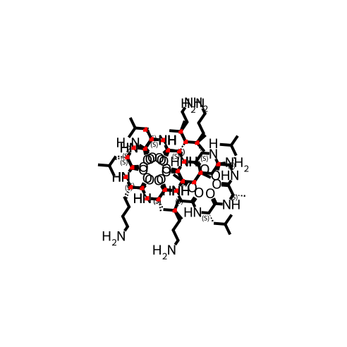 CC(=O)N[C@@H](CCCCN)C(=O)N[C@@H](CC(C)C)C(=O)N[C@@H](C)C(=O)N[C@@H](CC(C)C)C(=O)N[C@@H](CCCCN)C(=O)N[C@@H](CC(C)C)C(=O)N[C@@H](C)C(=O)N[C@@H](CC(C)C)C(=O)N[C@@H](CCCCN)C(=O)N[C@@H](C)C(=O)NC(CC(C)C)C(=O)N[C@@H](CCCCN)C(=O)NC(CC(C)C)C(=O)N[C@@H](C)C(=O)N[C@@H](C)C(=O)N[C@@H](CC(C)C)C(=O)N[C@@H](CCCCN)C(=O)N[C@@H](CC(C)C)C(=O)N[C@@H](C)C(N)=O